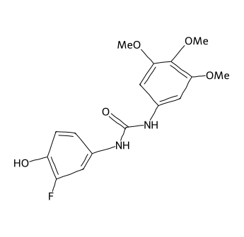 COc1cc(NC(=O)Nc2ccc(O)c(F)c2)cc(OC)c1OC